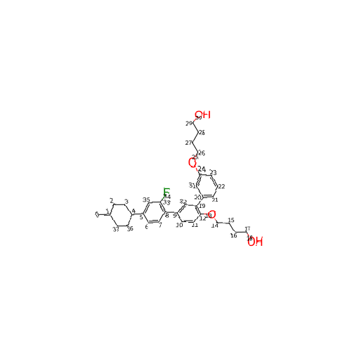 CC1CCC(c2ccc(-c3ccc(OCCCCO)c(-c4cccc(OCCCCO)c4)c3)c(F)c2)CC1